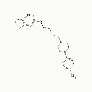 FC(F)(F)c1ccc(N2CCN(CCCCOc3ccc4c(c3)CCC4)CC2)cc1